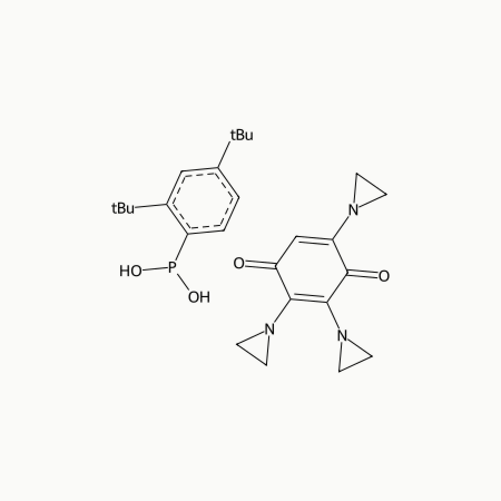 CC(C)(C)c1ccc(P(O)O)c(C(C)(C)C)c1.O=C1C=C(N2CC2)C(=O)C(N2CC2)=C1N1CC1